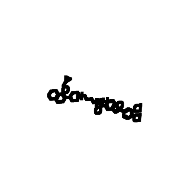 O=C(NCCCCN1CCC(c2ccc3c(c2OCC2CC2)CCCC3)CC1)c1ccc2oc(-c3ccc(Cl)c(Cl)c3)cc2c1